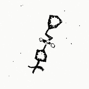 CC(C)(C)c1ccc(S(=O)(=O)C=Cc2ccccc2)cc1